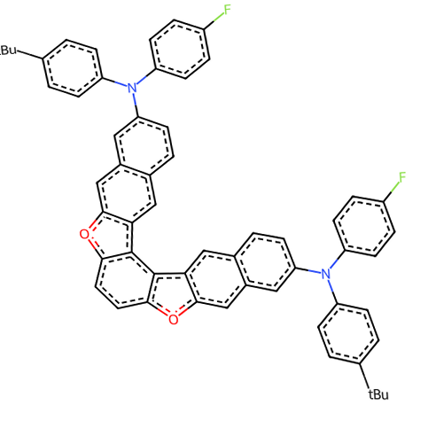 CC(C)(C)c1ccc(N(c2ccc(F)cc2)c2ccc3cc4c(cc3c2)oc2ccc3oc5cc6cc(N(c7ccc(F)cc7)c7ccc(C(C)(C)C)cc7)ccc6cc5c3c24)cc1